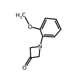 COc1ccccc1N1CC(=O)C1